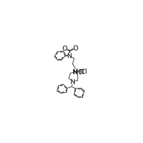 Cl.Cl.O=c1oc2ccccc2n1CCCN1CCN(C(c2ccccc2)c2ccccc2)CC1